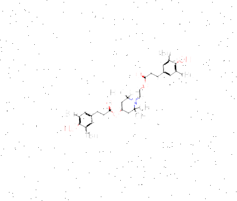 CC(C)(C)c1cc(CCC(=O)OCCN2C(C)(C)[CH]C(OC(=O)CCc3cc(C(C)(C)C)c(O)c(C(C)(C)C)c3)CC2(C)C)cc(C(C)(C)C)c1O